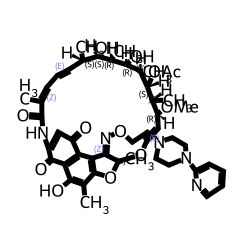 CO[C@H]1/C=C/O[C@@]2(C)Oc3c(C)c(O)c4c(c3/C2=N/OCCN2CCN(c3ccccn3)CC2)C(=O)C=C(NC(=O)/C(C)=C\C=C\[C@H](C)[C@H](O)[C@@H](C)[C@@H](O)[C@@H](C)[C@H](OC(C)=O)[C@@H]1C)C4=O